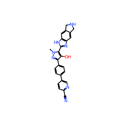 Cn1nc(-c2ccc(-c3ccc(C#N)nc3)cc2)c(O)c1-c1nc2cc3c(cc2[nH]1)CNC3